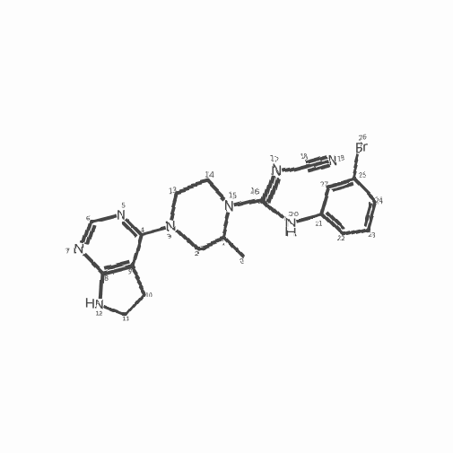 CC1CN(c2ncnc3c2CCN3)CCN1/C(=N/C#N)Nc1cccc(Br)c1